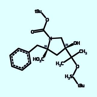 CC(C)(C)OC(=O)N1C[C@](O)(C(C)(C)O[SiH2]C(C)(C)C)C[C@@]1(Cc1ccccc1)C(=O)O